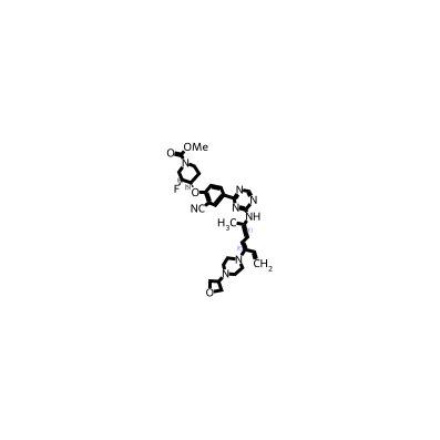 C=C/C(=C\C=C(/C)Nc1ncnc(-c2ccc(O[C@H]3CCN(C(=O)OC)C[C@H]3F)c(C#N)c2)n1)N1CCN(C2COC2)CC1